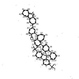 CC(C)(C)c1ccc2c(c1)C1(c3ccccc3-c3ccc(-c4ccc5c6c(cccc46)-c4cc(-c6ccc7sc8ccccc8c7c6)ccc4O5)cc31)c1cc(C(C)(C)C)ccc1-2